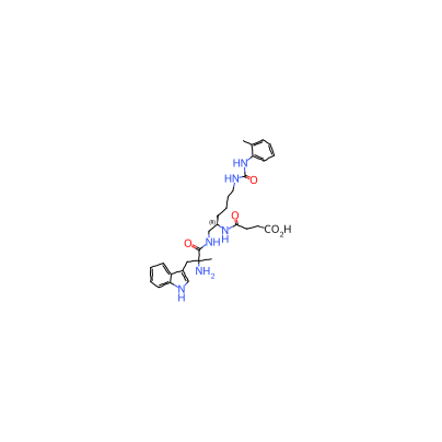 Cc1ccccc1NC(=O)NCCCC[C@H](CNC(=O)C(C)(N)Cc1c[nH]c2ccccc12)NC(=O)CCC(=O)O